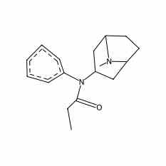 CCC(=O)N(c1ccccc1)C1CC2CCC(C1)N2C